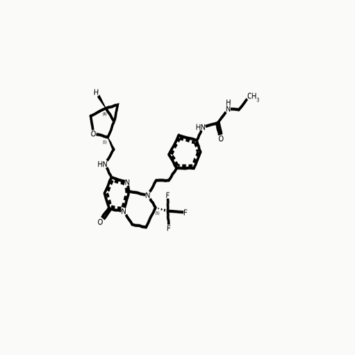 CCNC(=O)Nc1ccc(CCN2c3nc(NC[C@H]4OC[C@@H]5CC54)cc(=O)n3CC[C@H]2C(F)(F)F)cc1